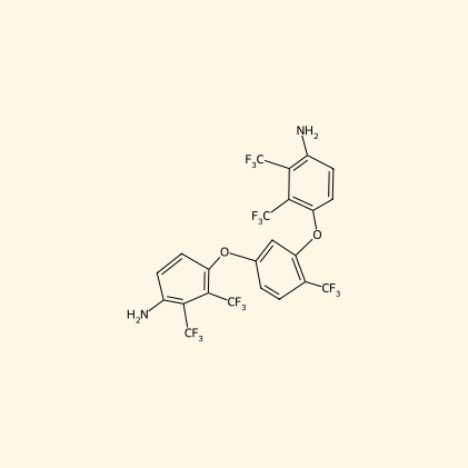 Nc1ccc(Oc2ccc(C(F)(F)F)c(Oc3ccc(N)c(C(F)(F)F)c3C(F)(F)F)c2)c(C(F)(F)F)c1C(F)(F)F